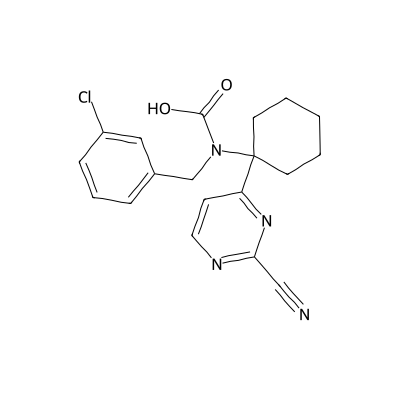 N#Cc1nccc(C2(N(Cc3cccc(Cl)c3)C(=O)O)CCCCC2)n1